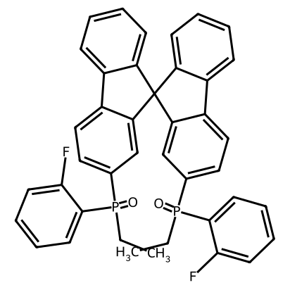 CCP(=O)(c1ccc2c(c1)C1(c3ccccc3-2)c2ccccc2-c2ccc(P(=O)(CC)c3ccccc3F)cc21)c1ccccc1F